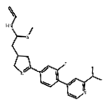 C=CNC(CC1CN=C(c2ccc(-c3ccnc(C(C)C)c3)c(F)c2)C1)SC